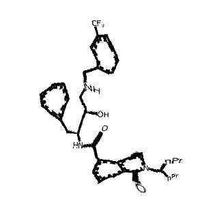 CCCC(CCC)n1ccc2c(C(=O)N[C@@H](Cc3ccccc3)[C@H](O)CNCc3cccc(C(F)(F)F)c3)cccc2c1=O